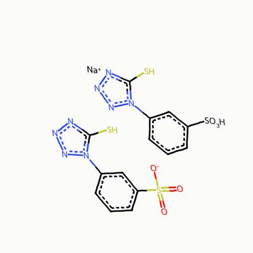 O=S(=O)(O)c1cccc(-n2nnnc2S)c1.O=S(=O)([O-])c1cccc(-n2nnnc2S)c1.[Na+]